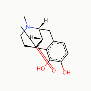 CN1CC[C@]23CC(=O)CC[C@H]2[C@H]1Cc1ccc(O)c(O)c13